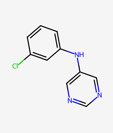 Clc1cccc(Nc2cncnc2)c1